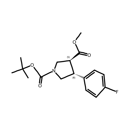 COC(=O)[C@@H]1CN(C(=O)OC(C)(C)C)C[C@H]1c1ccc(F)cc1